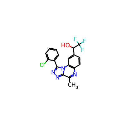 Cc1nc2ccc(C(O)C(F)(F)F)cc2n2c(-c3ccccc3Cl)nnc12